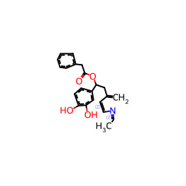 C=C(/C=C\N=C/C)CC(OC(=O)Cc1ccccc1)c1ccc(O)c(O)c1